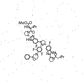 COC(=O)N[C@H](C(=O)N1CCC[C@H]1c1nc2cc([C@H]3CC[C@H](c4cc5nc([C@@H]6CCCN6C(=O)[CH]C(C)C)[nH]c5cc4F)N3c3cc(F)c(N4CCO[C@@H](c5ccccc5)C4)c(F)c3)c(F)cc2[nH]1)C(C)C